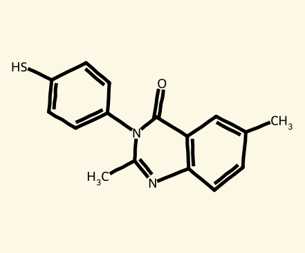 Cc1ccc2nc(C)n(-c3ccc(S)cc3)c(=O)c2c1